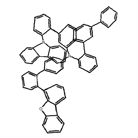 c1ccc(-c2cccc(-c3ccccc3N(c3ccc(-c4ccccc4-c4cccc5c4oc4ccccc45)cc3)c3cccc(-c4ccccc4-n4c5ccccc5c5ccccc54)c3)c2)cc1